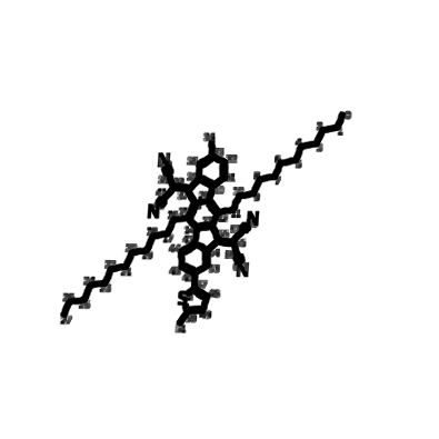 CCCCCCCCCCCCc1c2c(c(CCCCCCCCCCCC)c3c1-c1ccc(C)cc1C3=C(C#N)C#N)-c1ccc(-c3ccc(C)s3)cc1C2=C(C#N)C#N